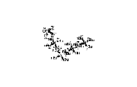 CCCC[N+](CCCC)(CCCC)CCCC.CCCC[N+](CCCC)(CCCC)CCCC.CCCC[N+](CCCC)(CCCC)CCCC.CCCC[N+](CCCC)(CCCC)CCCC.[O-][Ti]([O-])([O-])[O-]